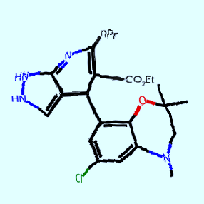 CCCC1=C(C(=O)OCC)C(c2cc(Cl)cc3c2OC(C)(C)CN3C)C2=CNNC2=N1